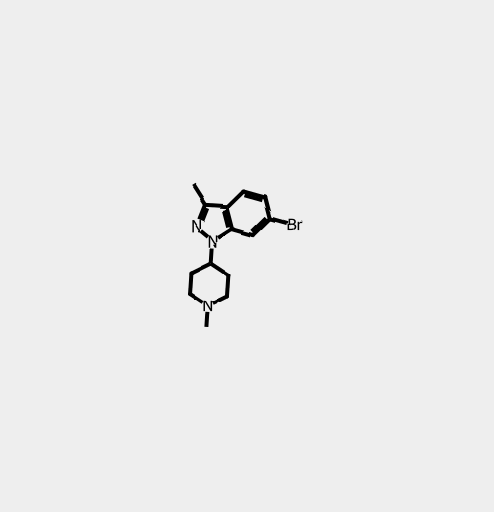 Cc1nn(C2CCN(C)CC2)c2cc(Br)ccc12